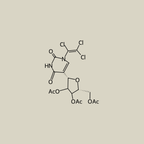 CC(=O)OC[C@H]1O[C@@H](c2cn(C(Cl)=C(Cl)Cl)c(=O)[nH]c2=O)C(OC(C)=O)C1OC(C)=O